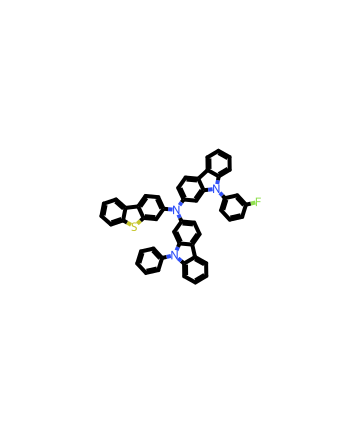 Fc1cccc(-n2c3ccccc3c3ccc(N(c4ccc5c(c4)sc4ccccc45)c4ccc5c6ccccc6n(-c6ccccc6)c5c4)cc32)c1